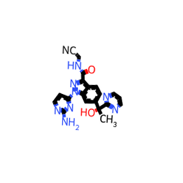 CC(O)(c1ccc2c(C(=O)NCC#N)nn(-c3ccnc(N)n3)c2c1)c1ncccn1